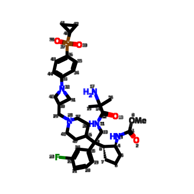 COC(=O)N[C@H]1CCC[C@@H]1[C@](CNC(=O)C(C)(C)N)(c1cccc(F)c1)C1CCN(CC2CN(c3ccc(S(=O)(=O)C4CC4)cc3)C2)CC1